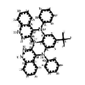 CC(C)(C)c1cc2c3c(c1)N(c1ccccc1)c1c(nnc4ccccc14)P3(=O)c1nnc3ccccc3c1N2c1ccccc1